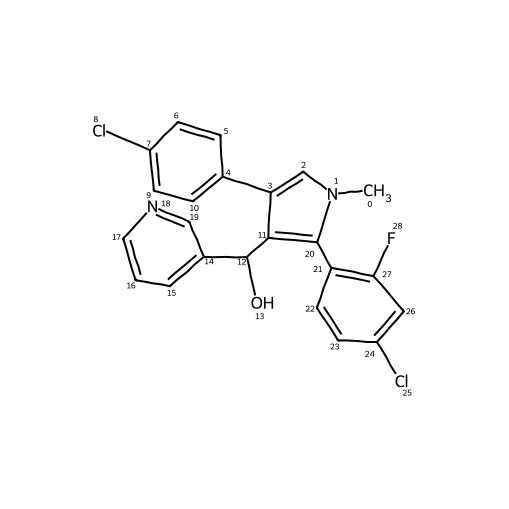 Cn1cc(-c2ccc(Cl)cc2)c(C(O)c2cccnc2)c1-c1ccc(Cl)cc1F